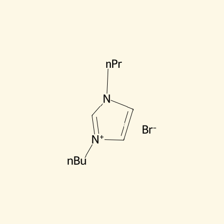 CCCC[n+]1ccn(CCC)c1.[Br-]